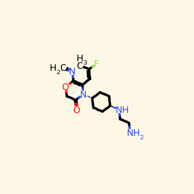 C=NC1=C(/C=C(\C)F)N([C@H]2CC[C@H](NCCN)CC2)C(=O)CO1